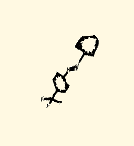 FC(F)(F)c1ccc(N=Nc2ccccc2)cc1